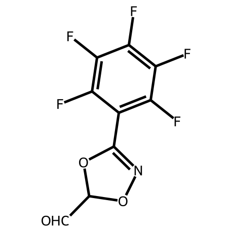 O=CC1ON=C(c2c(F)c(F)c(F)c(F)c2F)O1